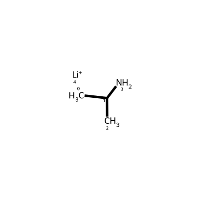 CC(C)N.[Li+]